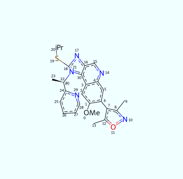 COc1cc2c(cc1-c1c(C)noc1C)ncc1nc(SC(C)C)n([C@H](C)c3ccccn3)c12